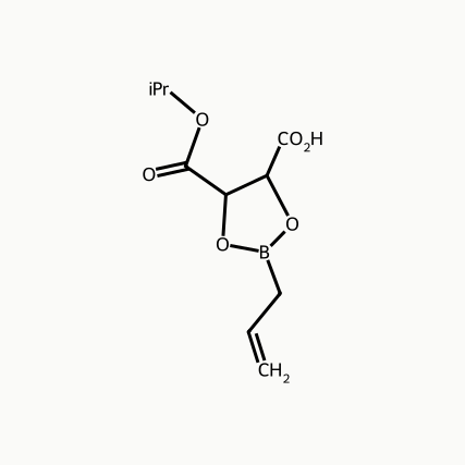 C=CCB1OC(C(=O)O)C(C(=O)OC(C)C)O1